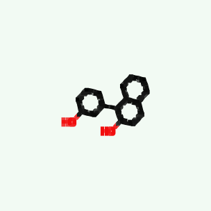 Oc1cccc(-c2c(O)ccc3ccccc23)c1